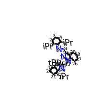 CC(C)c1cccc(C(C)C)c1/N=C/c1nn(C/C(=N/c2c(C(C)C)cccc2C(C)C)C(C)(C)C)c2ccccc12